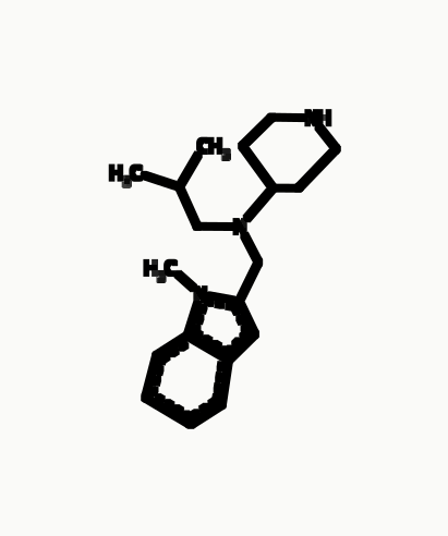 CC(C)CN(Cc1cc2ccccc2n1C)C1CCNCC1